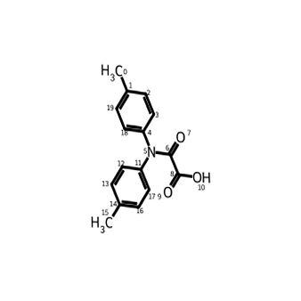 Cc1ccc(N(C(=O)C(=O)O)c2ccc(C)cc2)cc1